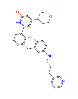 O=c1cc(N2CCOCC2)cc(-c2cccc3c2Oc2ccc(NCCCc4cccnc4)cc2C3)[nH]1